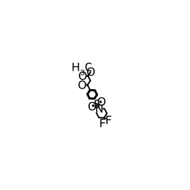 COC(=O)CC(=O)c1ccc(S(=O)(=O)N2CCC(F)(F)CC2)cc1